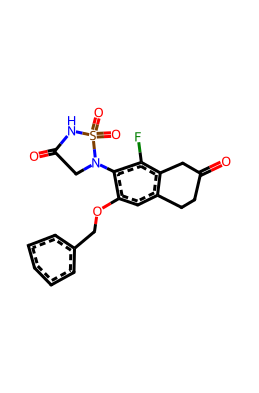 O=C1CCc2cc(OCc3ccccc3)c(N3CC(=O)NS3(=O)=O)c(F)c2C1